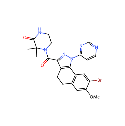 COc1cc2c(cc1Br)-c1c(c(C(=O)N3CCNC(=O)C3(C)C)nn1-c1ccncn1)CC2